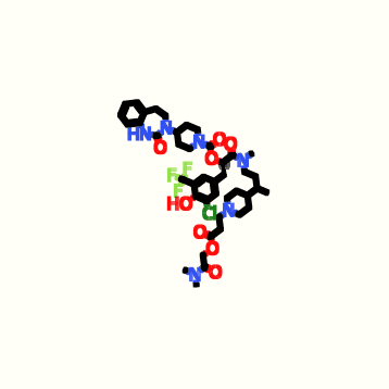 CC(CCN(C)C(=O)[C@@H](Cc1cc(Cl)c(O)c(C(F)(F)F)c1)OC(=O)N1CCC(N2CCc3ccccc3NC2=O)CC1)C1CCN(CCC(=O)OCC(=O)N(C)C)CC1